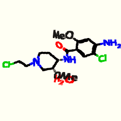 COc1cc(N)c(Cl)cc1C(=O)N[C@H]1CCN(CCCl)C[C@H]1OC.O